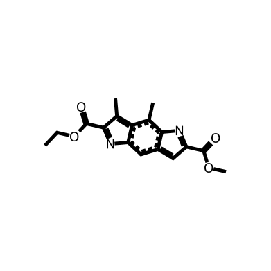 CCOC(=O)C1=Nc2cc3c(c(C)c2=C1C)N=C(C(=O)OC)C=3